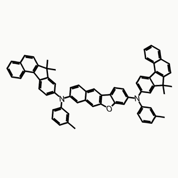 Cc1cccc(N(c2ccc3c(c2)C(C)(C)c2ccc4ccccc4c2-3)c2ccc3cc4c(cc3c2)oc2cc(N(c3cccc(C)c3)c3ccc5c(c3)C(C)(C)c3ccc6ccccc6c3-5)ccc24)c1